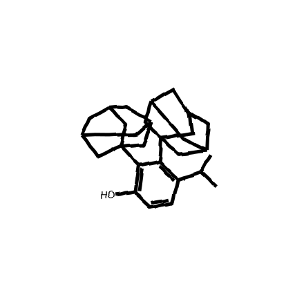 CC(C)c1ccc(O)c(C23CC4CC(CC(C4)C2)C3)c1C12CC3CC(CC(C3)C1)C2